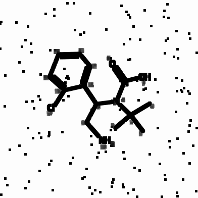 CC(C)(C)N(C(=O)O)C(CN)c1ccccc1Cl